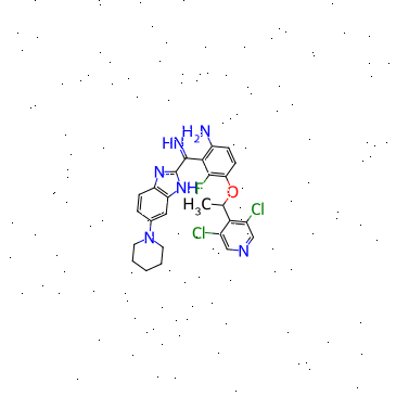 CC(Oc1ccc(N)c(C(=N)c2nc3ccc(N4CCCCC4)cc3[nH]2)c1F)c1c(Cl)cncc1Cl